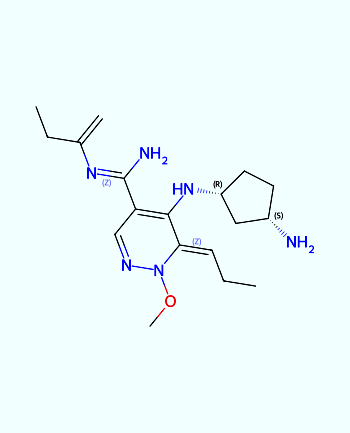 C=C(CC)/N=C(\N)C1=C(N[C@@H]2CC[C@H](N)C2)/C(=C/CC)N(OC)N=C1